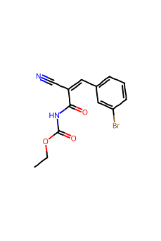 CCOC(=O)NC(=O)/C(C#N)=C\c1cccc(Br)c1